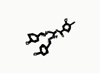 Cc1ccc(C(=O)N=C(N/N=C/c2ccc(Cl)cc2)N/N=C/c2ccc(Cl)cc2)cc1Cl